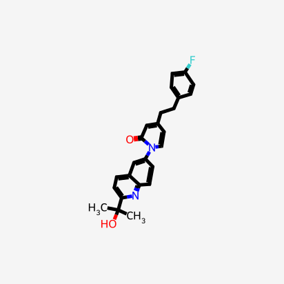 CC(C)(O)c1ccc2cc(-n3ccc(CCc4ccc(F)cc4)cc3=O)ccc2n1